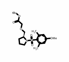 COc1cc(C)c(S(=O)(=O)N2CCC[C@H]2COCC(=O)OC(C)(C)C)c(C)c1